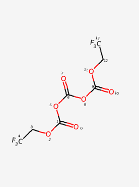 O=C(OCC(F)(F)F)OC(=O)OC(=O)OCC(F)(F)F